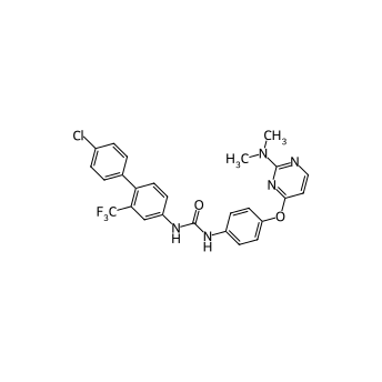 CN(C)c1nccc(Oc2ccc(NC(=O)Nc3ccc(-c4ccc(Cl)cc4)c(C(F)(F)F)c3)cc2)n1